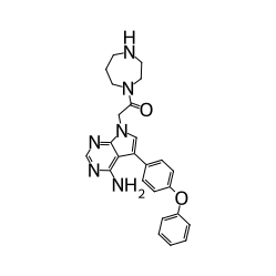 Nc1ncnc2c1c(-c1ccc(Oc3ccccc3)cc1)cn2CC(=O)N1CCCNCC1